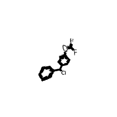 FC(F)Oc1ccc(C(Cl)c2ccccc2)cc1